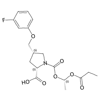 CCC(=O)O[C@H](C)OC(=O)N1C[C@@H](COc2cccc(F)c2)C[C@H]1C(=O)O